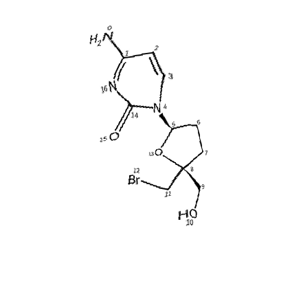 Nc1ccn([C@H]2CC[C@](CO)(CBr)O2)c(=O)n1